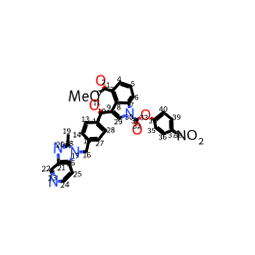 COC(=O)c1cccc2c1c(C(=O)c1ccc(Cn3c(C)nc4cnccc43)cc1)cn2C(=O)Oc1ccc([N+](=O)[O-])cc1